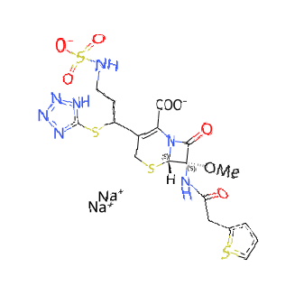 CO[C@@]1(NC(=O)Cc2cccs2)C(=O)N2C(C(=O)[O-])=C(C(CCNS(=O)(=O)[O-])Sc3nnn[nH]3)CS[C@H]21.[Na+].[Na+]